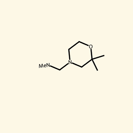 CNCN1CCOC(C)(C)C1